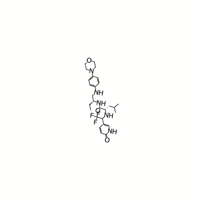 CC[C@@H](CNc1ccc(N2CCOCC2)cc1)NC(=O)[C@H](CC(C)C)N[C@@H](c1ccc(=O)[nH]c1)C(F)(F)F